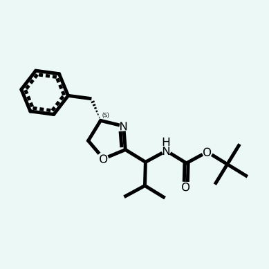 CC(C)C(NC(=O)OC(C)(C)C)C1=N[C@@H](Cc2ccccc2)CO1